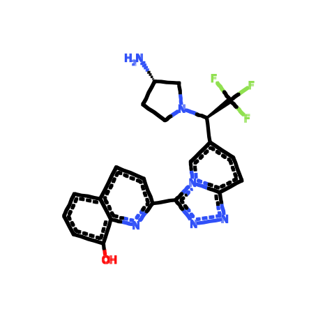 N[C@H]1CCN([C@H](c2ccc3nnc(-c4ccc5cccc(O)c5n4)n3c2)C(F)(F)F)C1